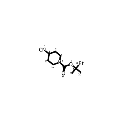 [C-]#[N+]C1CCN(C(=O)OC(C)(C)CC)CC1